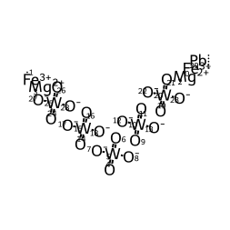 [Fe+3].[Fe+3].[Mg+2].[Mg+2].[O]=[W](=[O])([O-])[O-].[O]=[W](=[O])([O-])[O-].[O]=[W](=[O])([O-])[O-].[O]=[W](=[O])([O-])[O-].[O]=[W](=[O])([O-])[O-].[Pb]